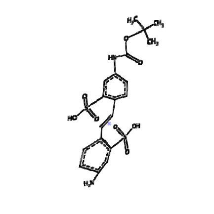 CC(C)(C)OC(=O)Nc1ccc(/C=C/c2ccc(N)cc2S(=O)(=O)O)c(S(=O)(=O)O)c1